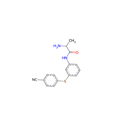 CC(N)C(=O)Nc1cccc(Sc2ccc(C#N)cc2)c1